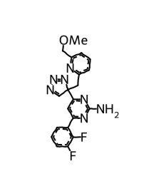 COCc1cccc(CC2(c3cc(-c4cccc(F)c4F)nc(N)n3)C=NN=N2)n1